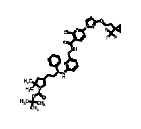 CC(C)(C)OC(=O)N1CC(CCC(Nc2cccc(SNC(=O)c3ccc(-n4ccc(OCCC5(C(F)(F)F)CC5)n4)nc3Cl)n2)c2ccccc2)CC1(C)C